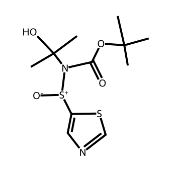 CC(C)(C)OC(=O)N([S+]([O-])c1cncs1)C(C)(C)O